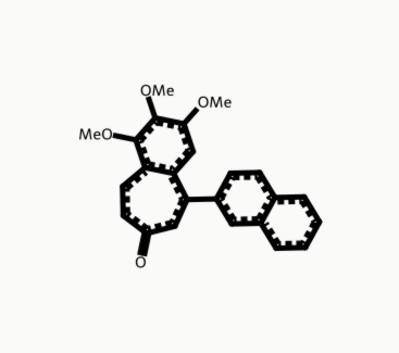 COc1cc2c(-c3ccc4ccccc4c3)cc(=O)ccc2c(OC)c1OC